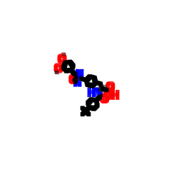 COc1ccc(-c2nc(-c3ccc(C[C@H](NC(=O)C4C=CC(C(C)(C)C)=CC4)C(=O)O)cc3)no2)cc1OC